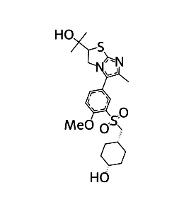 COc1ccc(-c2c(C)nc3n2CC(C(C)(C)O)S3)cc1S(=O)(=O)C[C@H]1CC[C@@H](O)CC1